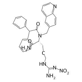 NC(=O)[C@@H](CCCNC(N)=N[N+](=O)[O-])N(Cc1ccc2ncccc2c1)C(=O)C(c1ccccc1)c1ccccc1